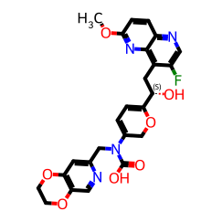 COc1ccc2ncc(F)c(C[C@H](O)C3=CC=C(N(Cc4cc5c(cn4)OCCO5)C(=O)O)CO3)c2n1